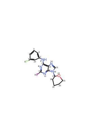 Fc1cccc(Nc2nc(I)nc3c2ncn3C2CCCCO2)c1